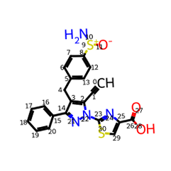 C#Cc1c(Cc2ccc([S+](N)[O-])cc2)c(-c2ccccc2)nn1-c1nc(C(=O)O)cs1